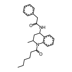 CCCCCC(=O)N1c2ccccc2C(NC(=O)Cc2ccccc2)CC1C